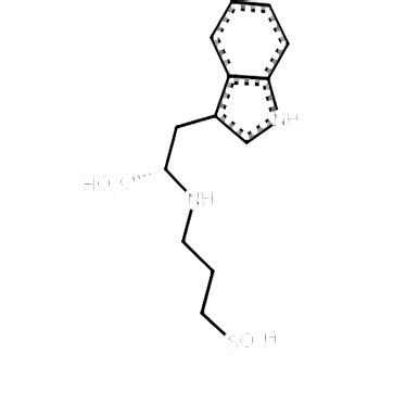 O=C(O)[C@H](Cc1c[nH]c2ccccc12)NCCCS(=O)(=O)O